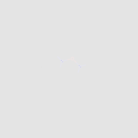 C1CN(ON2CCSCC2)CCS1